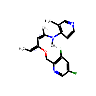 C/C=C(\C=C(\C)N(C)c1ccncc1C)OCc1ncc(F)cc1F